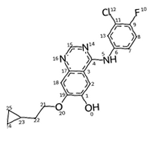 Oc1cc2c(Nc3ccc(F)c(Cl)c3)ncnc2cc1OCCC1CC1